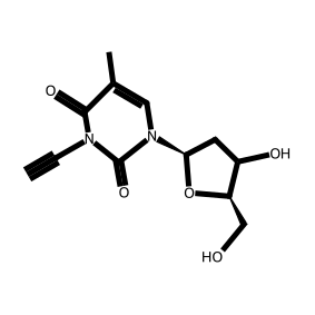 C#Cn1c(=O)c(C)cn([C@H]2CC(O)[C@@H](CO)O2)c1=O